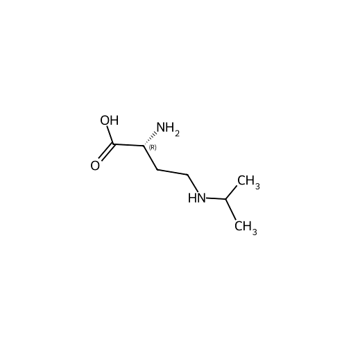 CC(C)NCC[C@@H](N)C(=O)O